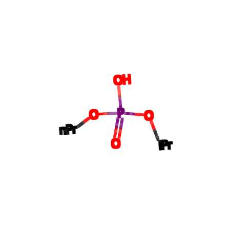 CCCOP(=O)(O)OC(C)C